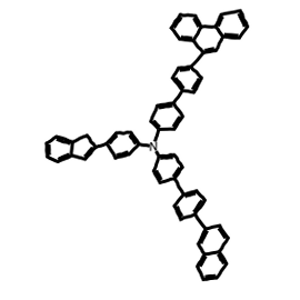 C1=C(c2ccc(N(c3ccc(-c4ccc(-c5ccc6ccccc6c5)cc4)cc3)c3ccc(-c4ccc(-c5cc6ccccc6c6ccccc56)cc4)cc3)cc2)Cc2ccccc21